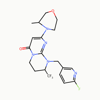 CC1COCCN1c1cc(=O)n2c(n1)N(Cc1ccc(F)nc1)C(C(F)(F)F)CC2